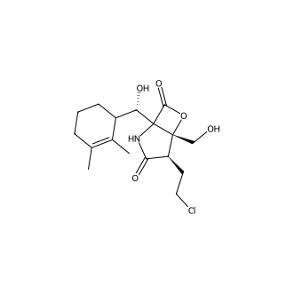 CC1=C(C)C([C@H](O)C23NC(=O)[C@H](CCCl)[C@@]2(CO)OC3=O)CCC1